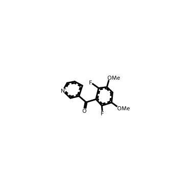 COc1cc(OC)c(F)c(C(=O)c2cccnc2)c1F